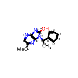 COc1cnc2nc(O)n(C(C)c3ccccc3)c2n1